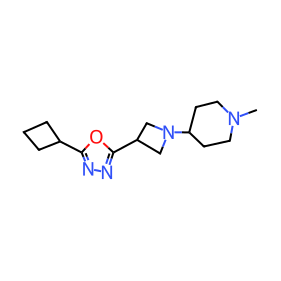 CN1CCC(N2CC(c3nnc(C4CCC4)o3)C2)CC1